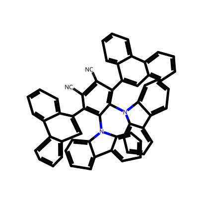 N#Cc1c(C#N)c(-c2cc3ccccc3c3ccccc23)c(-n2c3ccccc3c3ccccc32)c(-n2c3ccccc3c3ccccc32)c1-c1cc2ccccc2c2ccccc12